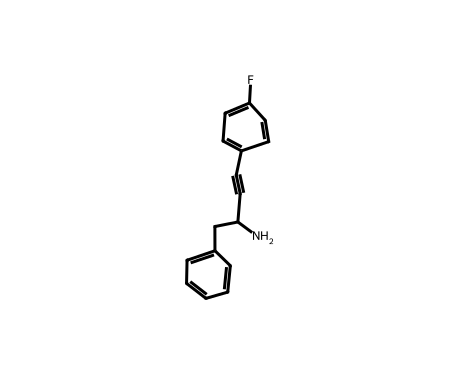 NC(C#Cc1ccc(F)cc1)Cc1ccccc1